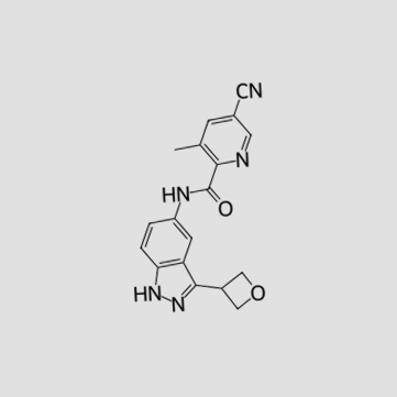 Cc1cc(C#N)cnc1C(=O)Nc1ccc2[nH]nc(C3COC3)c2c1